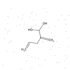 C=CCC(=C)[C](O)O